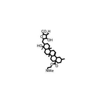 CNCCOC(=O)C12CCC(C)CC1C1=CCC3C(C)(CCC4C3(C)CCC(CC3OC(C(=O)O)C(C)C3O)[C@@]4(C)O)C1CC2